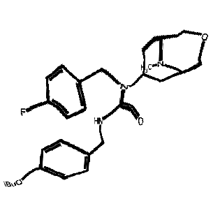 CC(C)COc1ccc(CNC(=O)N(Cc2ccc(F)cc2)C2CC3COCC(C2)N3C)cc1